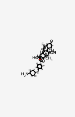 C[C@]12C=CC(=O)C=C1[C@@H](F)C[C@H]1[C@@H]3C[C@H]4O[C@@H](c5ccc(C[C@H]6CC[C@H](N)CC6)cc5)O[C@@]4(C(=O)CO)[C@@]3(C)C[C@H](O)[C@@]12F